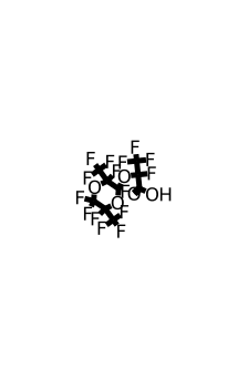 O=C(O)C(F)(OC1(F)OC(F)(C(F)(F)F)C(F)(F)OC1(F)C(F)(F)F)C(F)(F)F